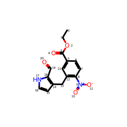 CCOC(=O)c1ccc([N+](=O)[O-])c(Cc2cc[nH]c2C=O)c1